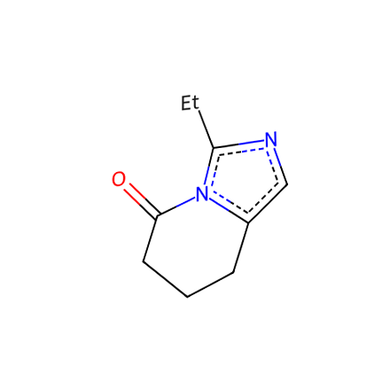 CCc1ncc2n1C(=O)CCC2